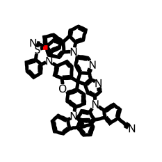 N#Cc1ccc2c(c1)c1ccccc1n2-c1cnc2c(c1)C1(c3ccc(N4c5ccccc5Sc5ccccc54)cc3Oc3cc(-n4c5ccccc5c5ccccc54)ccc31)c1cc(-n3c4ccccc4c4cc(C#N)ccc43)cnc1-2